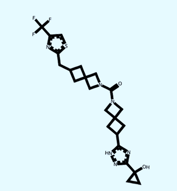 O=C(N1CC2(CC(Cc3nc(C(F)(F)F)cs3)C2)C1)N1CC2(CC(c3nc(C4(O)CC4)n[nH]3)C2)C1